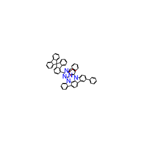 c1ccc(-c2ccc3c(c2)c2ccc4c5ccccc5n(-c5nc(-c6ccccc6)nc(-c6cccc7c6-c6ccccc6C76c7ccccc7-c7ccccc76)n5)c4c2n3-c2ccccc2)cc1